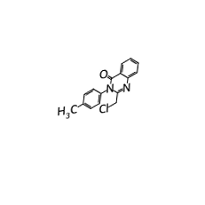 Cc1ccc(-n2c(CCl)nc3ccccc3c2=O)cc1